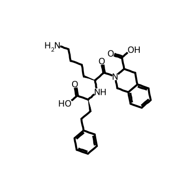 NCCCC[C@H](N[C@@H](CCc1ccccc1)C(=O)O)C(=O)N1Cc2ccccc2CC1C(=O)O